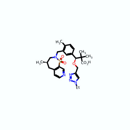 CCn1cc(CO[C@@H](c2ccc(C)c(CN3C[C@H](C)Cc4ccncc4S3(=O)=O)c2)C(C)(C)C(=O)O)nn1